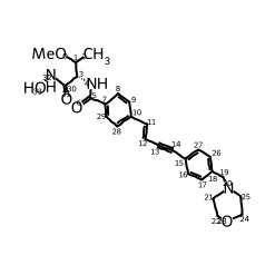 COC(C)[C@H](NC(=O)c1ccc(/C=C/C#Cc2ccc(CN3CCOCC3)cc2)cc1)C(=O)NO